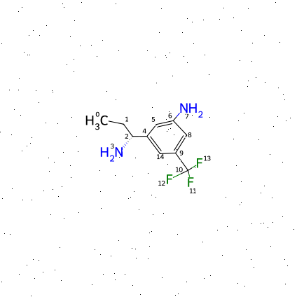 CC[C@@H](N)c1cc(N)cc(C(F)(F)F)c1